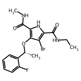 CCNC(=O)c1[nH]c(C(=O)NC)c(O[C@H](C)c2ccccc2F)c1Br